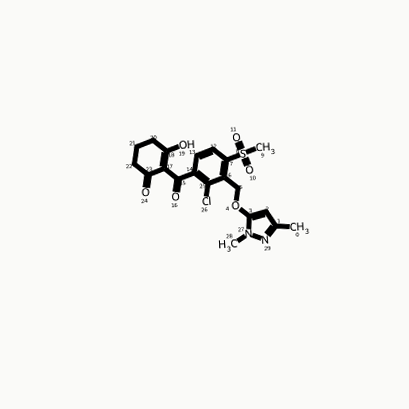 Cc1cc(OCc2c(S(C)(=O)=O)ccc(C(=O)C3=C(O)CCCC3=O)c2Cl)n(C)n1